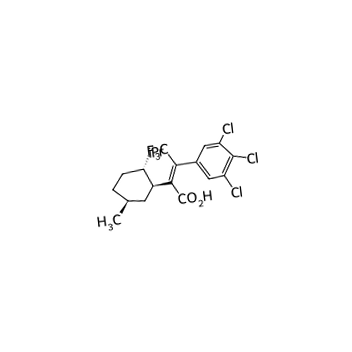 CC(C)[C@H]1CC[C@H](C)C[C@@H]1C(C(=O)O)=C(c1cc(Cl)c(Cl)c(Cl)c1)C(F)(F)F